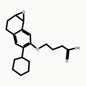 O=C(O)CCCOc1cc2c(cc1C1CCCCC1)CCC1OC21